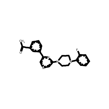 CC(=O)c1cccc(-c2cncc(N3CCN(c4ccccc4F)CC3)n2)c1